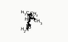 CCc1cc(NCCc2csc(N)n2)n2nc(C)c(C)c2n1